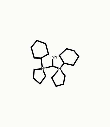 CCCC([N+]1(C2CCCCC2)CCCC1)[N+]1(C2CCCCC2)CCCC1